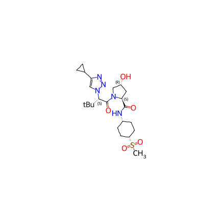 CC(C)(C)[C@@H](C(=O)N1C[C@H](O)C[C@H]1C(=O)N[C@H]1CC[C@@H](S(C)(=O)=O)CC1)n1cc(C2CC2)nn1